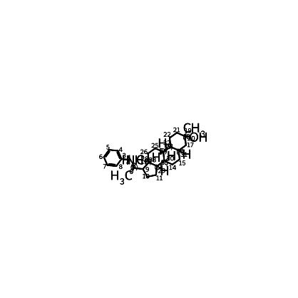 C[C@@H](Nc1ccccc1)C1CC[C@H]2[C@@H]3CC[C@@H]4C[C@](C)(O)CC[C@@H]4[C@H]3CC[C@]12C